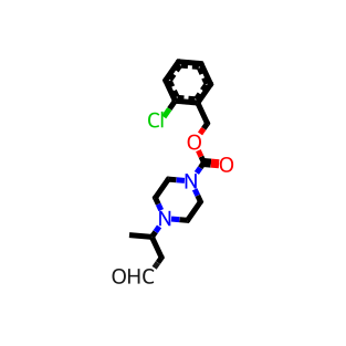 CC(CC=O)N1CCN(C(=O)OCc2ccccc2Cl)CC1